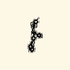 Cc1ccc(S(=O)(=O)OCCn2cc(-c3ccncc3)c(-c3ccc(OCc4ccc5ncccc5n4)cc3)n2)cc1